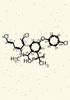 CN(C(/C=C/Cl)=C/C=C/Cl)C(O)c1ccc(Oc2ccc(Cl)cc2)cc1C(C)(F)F